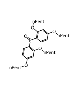 CCCCCOc1ccc([P](=O)c2ccc(OCCCCC)cc2OCCCCC)c(OCCCCC)c1